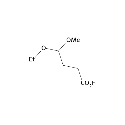 CCOC(CCC(=O)O)OC